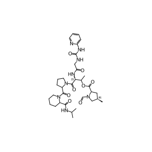 CC(C)NC(=O)C1CCCCN1C(=O)C1CCCN1C(=O)[C@@H](NC(=O)CNC(=O)Nc1ccccn1)C(C)OC(=O)C1C[C@@H](C)CN1C=O